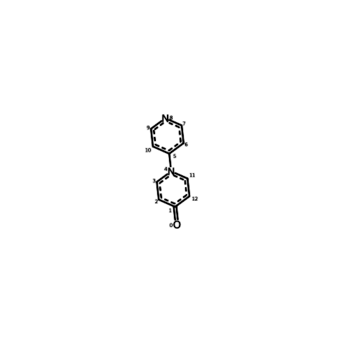 O=c1ccn(-c2ccncc2)cc1